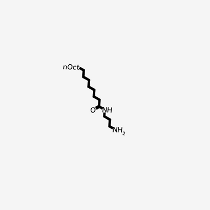 CCCCCCCCCCCCCCCC(=O)NCCCN